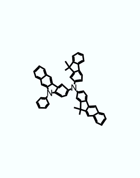 CC1(C)c2ccccc2-c2ccc(N(c3ccc4c(c3)C(C)(C)c3cc5ccccc5cc3-4)c3ccc4c(c3)c3cc5ccccc5cc3n4-c3ccccc3)cc21